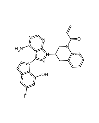 C=CC(=O)N1CC(n2nc(-n3ccc4cc(F)cc(O)c43)c3c(N)ncnc32)Cc2ccccc21